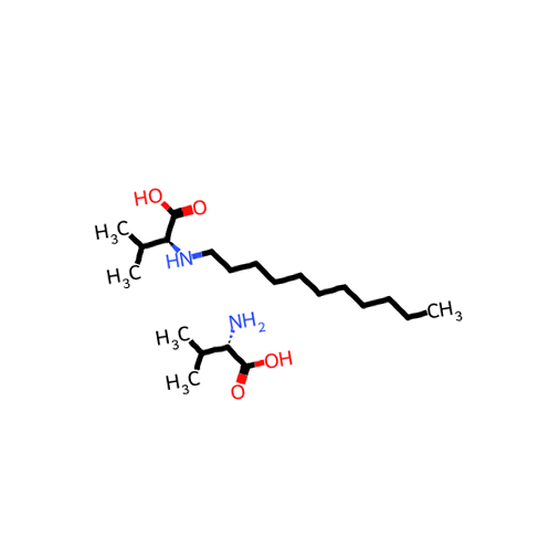 CC(C)[C@H](N)C(=O)O.CCCCCCCCCCCN[C@H](C(=O)O)C(C)C